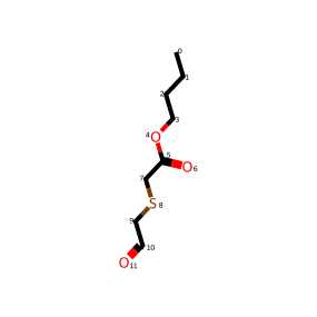 CCCCOC(=O)CSC[C]=O